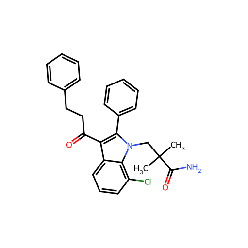 CC(C)(Cn1c(-c2ccccc2)c(C(=O)CCc2ccccc2)c2cccc(Cl)c21)C(N)=O